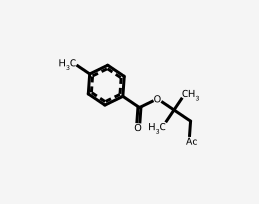 CC(=O)CC(C)(C)OC(=O)c1ccc(C)cc1